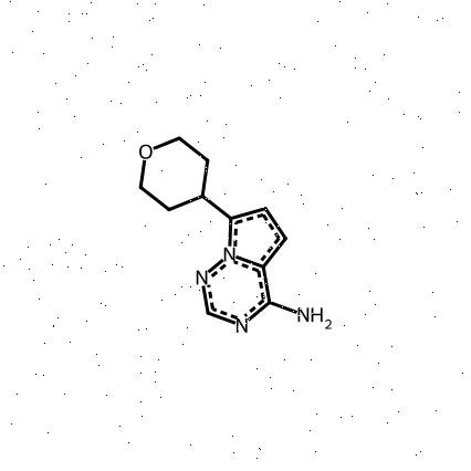 Nc1ncnn2c(C3CCOCC3)ccc12